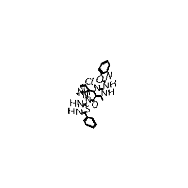 CC1=C(C(=O)NC(=N)SC(=N)c2ccccc2)C(c2nn(C)cc2Cl)N=C(Nc2nc3ccccc3o2)N1